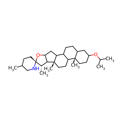 CC1CC[C@@]2(NC1)OC1CC3C4CCC5CC(OC(C)C)CC[C@]5(C)C4CC[C@]3(C)C1[C@@H]2C